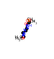 Cc1ccc(C(=O)NCc2cc3nc(-c4cccc(N5CCCOC(C)(C)C5)n4)ccc3cn2)cc1S(C)(=O)=O